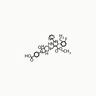 CCOC(=O)C1=C(CN2CC[C@@H]3C(=O)N(c4ccc(C(=O)O)cc4)C[C@@H]3C2)NC(c2nccs2)=N[C@H]1c1cccc(F)c1C